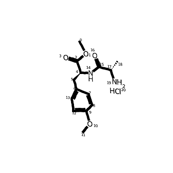 COC(=O)[C@H](Cc1ccc(OC)cc1)NC(=O)[C@H](C)N.Cl